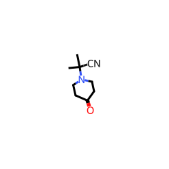 CC(C)(C#N)N1CCC(=O)CC1